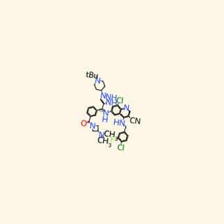 CN(C)C1CN(C(=O)c2cccc([C@H](Nc3cc(Cl)c4ncc(C#N)c(NCc5ccc(Cl)c(F)c5)c4c3)C3=CN(C4CCN(C(C)(C)C)CC4)NN3)c2)C1